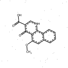 COc1cc2ccccc2c2[nH]cc(C(=O)O)c(=O)c12